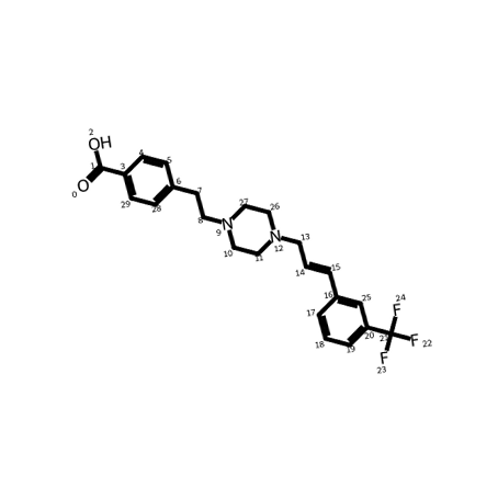 O=C(O)c1ccc(CCN2CCN(CC=Cc3cccc(C(F)(F)F)c3)CC2)cc1